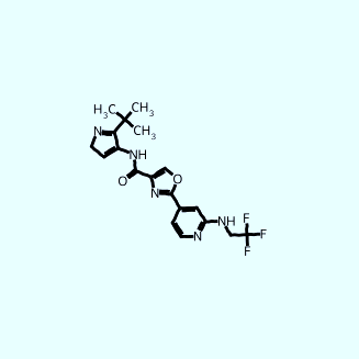 CC(C)(C)C1=NCC=C1NC(=O)c1coc(-c2ccnc(NCC(F)(F)F)c2)n1